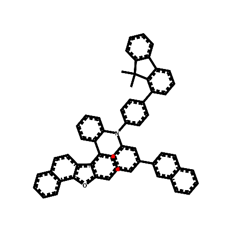 CC1(C)c2ccccc2-c2cccc(-c3ccc(N(c4cccc(-c5ccc6ccccc6c5)c4)c4ccccc4-c4cccc5oc6c7ccccc7ccc6c45)cc3)c21